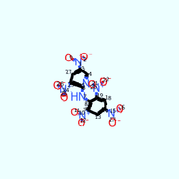 O=[N+]([O-])c1cnc(Nc2c([N+](=O)[O-])cc([N+](=O)[O-])cc2[N+](=O)[O-])c([N+](=O)[O-])c1